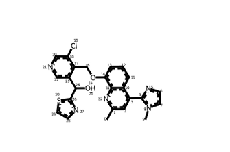 Cc1cc(-c2nccn2C)c2cccc(OCc3c(Cl)cncc3C(O)c3nccs3)c2n1